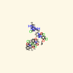 C#CCOc1cc(-n2nc3n(c2=O)CCCC3)c(Cl)cc1Cl.CC1COc2ccccc2N1C(=O)C(Cl)Cl.CCNc1nc(Cl)nc(NC(C)C)n1.CCc1cccc(C)c1N(C(=O)CCl)C(C)COC